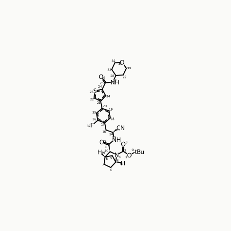 CC(C)(C)OC(=O)N1[C@@H]2CC[C@@H](C2)[C@H]1C(=O)N[C@H](C#N)Cc1ccc(-c2csc(C(=O)NC3CCOCC3)c2)cc1F